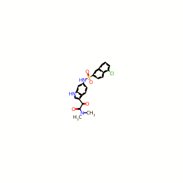 CN(C)C(=O)C(=O)c1c[nH]c2cc(NS(=O)(=O)c3ccc4c(Cl)cccc4c3)ccc12